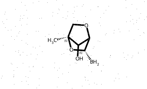 B[C@@H]1O[C@@]2(C)COC1C2O